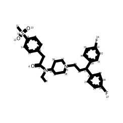 CCN(C(=O)Cc1ccc(S(C)(=O)=O)cc1)C1CCN(CCC(c2ccc(F)cc2)c2ccc(F)cc2)CC1